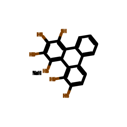 Sc1ccc2c3ccccc3c3c(S)c(S)c(S)c(S)c3c2c1S.[NaH]